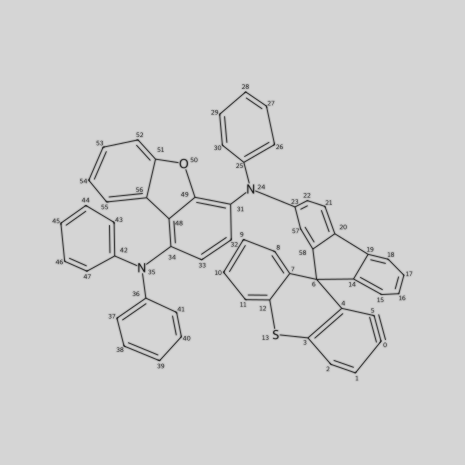 c1ccc2c(c#1)C1(c3ccccc3S2)c2ccccc2-c2ccc(N(c3ccccc3)c3ccc(N(c4ccccc4)c4ccccc4)c4c3oc3ccccc34)cc21